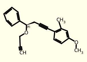 C#CCO[C@H](CC#Cc1ccc(OC)cc1C)c1ccccc1